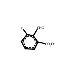 CCOC(=O)c1cccc(F)c1C=O